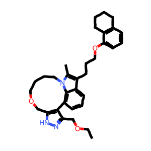 CCOCc1n[nH]c2c1-c1cccc3c(CCCOc4cccc5c4CCCC5)c(C)n(c13)CCCCOC2